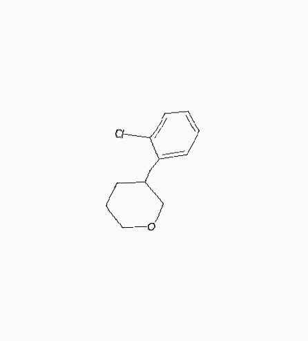 Clc1ccccc1C1CCCOC1